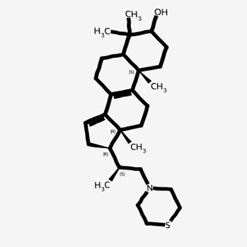 C[C@H](CN1CCSCC1)[C@H]1CC=C2C3=C(CC[C@@]21C)[C@@]1(C)CCC(O)C(C)(C)C1CC3